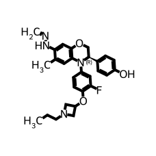 C=NNc1cc2c(cc1C)N(c1ccc(OC3CN(CCC)C3)c(F)c1)[C@H](c1ccc(O)cc1)CO2